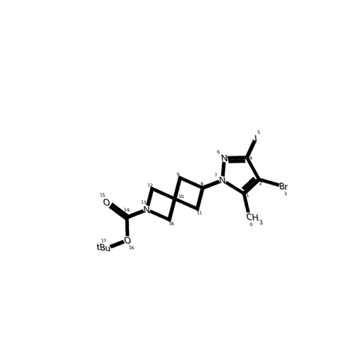 Cc1c(Br)c(I)nn1C1CC2(C1)CN(C(=O)OC(C)(C)C)C2